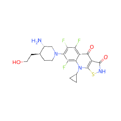 N[C@@H]1CN(c2c(F)c(F)c3c(=O)c4c(=O)[nH]sc4n(C4CC4)c3c2F)CC[C@H]1CCO